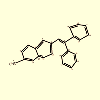 O=Cc1ccc2cc(C=C(c3ccccc3)c3ccccc3)ccc2c1